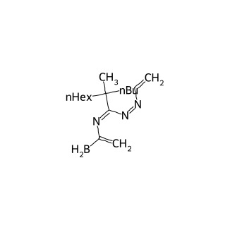 BC(=C)/N=C(\N=N/C=C)C(C)(CCCC)CCCCCC